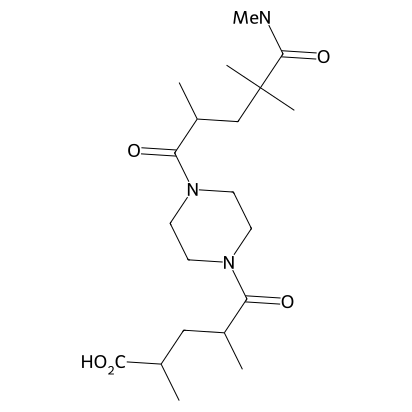 CNC(=O)C(C)(C)CC(C)C(=O)N1CCN(C(=O)C(C)CC(C)C(=O)O)CC1